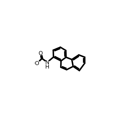 [O]C(=O)Nc1cccc2c1ccc1ccccc12